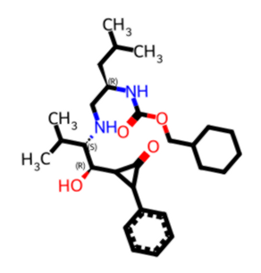 CC(C)C[C@H](CN[C@@H](C(C)C)[C@H](O)C1C(=O)C1c1ccccc1)NC(=O)OCC1CCCCC1